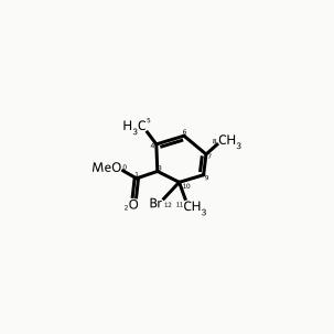 COC(=O)C1C(C)=CC(C)=CC1(C)Br